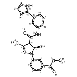 CC1=NN(c2cccc(C(=O)OC(F)(F)F)c2)C(=O)C1C(=O)Nc1cccc(-c2ncc[nH]2)c1